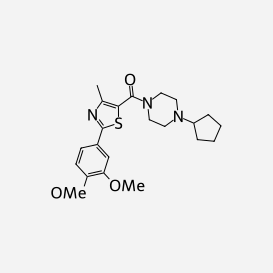 COc1ccc(-c2nc(C)c(C(=O)N3CCN(C4CCCC4)CC3)s2)cc1OC